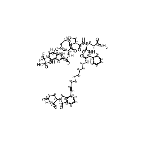 CN1CC[C@H]2CC[C@@H](C(=O)N[C@@H](CCC(N)=O)C(=O)N[C@H](C(=O)NCCCCCCCC#Cc3cccc4c3CN(C3CCC(=O)NC3=O)C4=O)c3ccccc3)N2C(=O)[C@@H](NC(=O)c2cc3cc(C(F)(F)P(=O)(O)O)ccc3[nH]2)C1